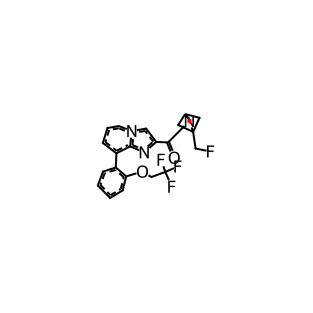 O=C(c1cn2cccc(-c3ccccc3OCC(F)(F)F)c2n1)N1CC2CC1(CF)C2